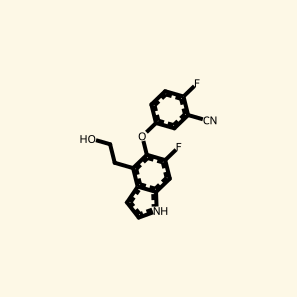 N#Cc1cc(Oc2c(F)cc3[nH]ccc3c2CCO)ccc1F